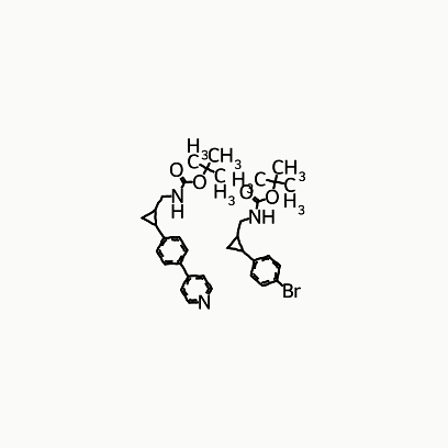 CC(C)(C)OC(=O)NCC1CC1c1ccc(-c2ccncc2)cc1.CC(C)(C)OC(=O)NCC1CC1c1ccc(Br)cc1